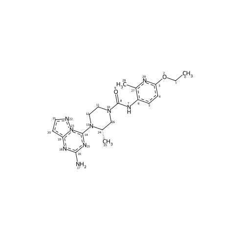 CCOc1ccc(NC(=O)N2CCN(c3nc(N)nc4ccnn34)[C@@H](C)C2)c(C)n1